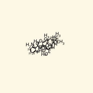 CC1=C[C@]23C(=O)[C@@H](C=C(CO)[C@@H](O)[C@]2(O)[C@H]1OC(=O)c1c(N)cccc1F)[C@@H]1[C@@H](C[C@H]3C)C1(C)C